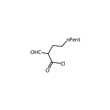 CCCCCCCC([C]=O)C(=O)Cl